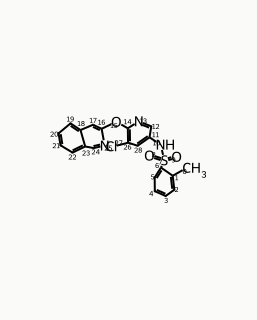 Cc1ccccc1S(=O)(=O)Nc1cnc(Oc2cc3ccccc3cn2)c(Cl)c1